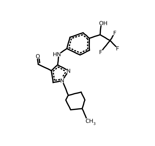 CC1CCC(n2cc(C=O)c(Nc3ccc(C(O)C(F)(F)F)cc3)n2)CC1